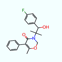 CC1=C(c2ccccc2)C(=O)N(C(C)(C)C(O)c2ccc(F)cc2)CO1